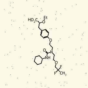 CCOC(Cc1ccc(OCCN(CCOCC(C)(F)F)C(=O)NC2CCCCC2)cc1)C(=O)O